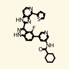 O=C(Nc1cncc(-c2ccc3[nH]nc(-c4nc5c(-c6cccs6)nccc5[nH]4)c3c2F)c1)C1CCCCC1